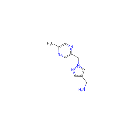 Cc1cnc(Cn2cc(CN)cn2)cn1